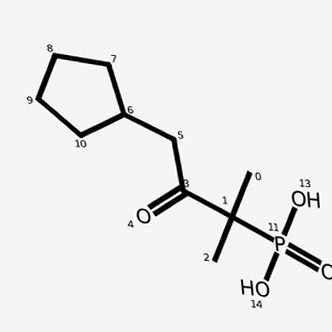 CC(C)(C(=O)CC1CCCC1)P(=O)(O)O